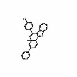 CC12C=C(c3ccccc3)C=CC1c1sc3ccccc3c1C(c1ccc(Cl)cc1)=N2